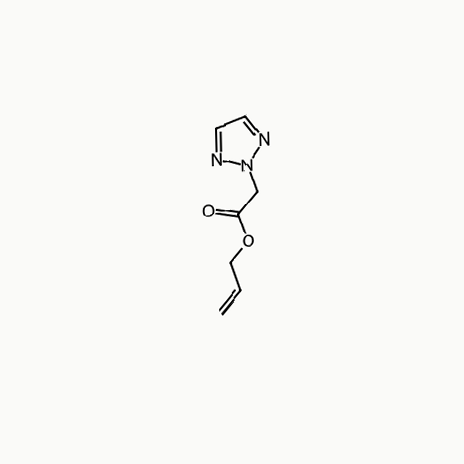 C=CCOC(=O)Cn1nccn1